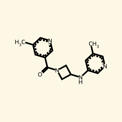 Cc1cncc(NC2CN(C(=O)c3cncc(C)c3)C2)c1